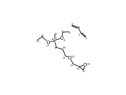 C=CC=C.CCO[Si](C)(CCCOCC1CO1)OCC